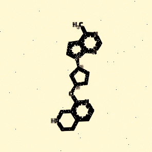 Cc1ncnc2c1ccn2[C@H]1CC[C@@H](Oc2nccc3c2CNCC3)C1